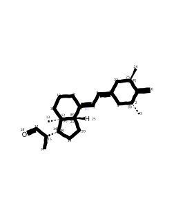 C=C1[C@H](C)CC(=C/C=C2\CCC[C@]3(C)[C@@H](C(C)C=O)CC[C@@H]23)C[C@H]1C